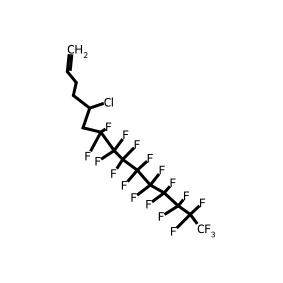 C=CCCC(Cl)CC(F)(F)C(F)(F)C(F)(F)C(F)(F)C(F)(F)C(F)(F)C(F)(F)C(F)(F)C(F)(F)F